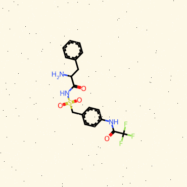 NC(Cc1ccccc1)C(=O)NS(=O)(=O)Cc1ccc(NC(=O)C(F)(F)F)cc1